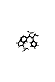 CC1=NN(C)C(c2ccc3c(c2)C(N(C)C)CC3)C1c1ccccc1